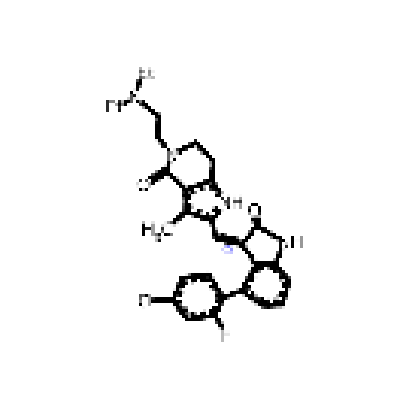 CCN(CC)CCN1CCc2[nH]c(/C=C3\C(=O)Nc4cccc(-c5ccc(Cl)cc5F)c43)c(C)c2C1=O